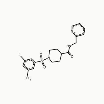 O=C(NCc1ccccn1)C1CCN(S(=O)(=O)c2cc(F)cc(C(F)(F)F)c2)CC1